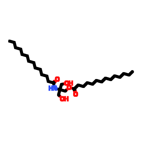 CCCCCCCCCCCCCC(=O)NC(CO)(CO)COC(=O)CCCCCCCCCCCCC